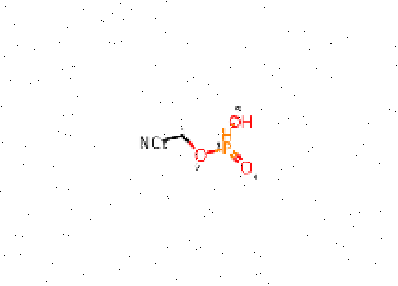 N#CCO[PH](=O)O